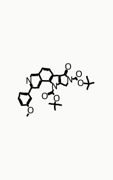 COc1cccc(-c2cc3c(ccc4c5c(n(C(=O)OC(C)(C)C)c43)CN(C(=O)OC(C)(C)C)C5=O)cn2)c1